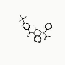 CC(=O)N(c1ccccc1)[C@H]1C[C@@H](C)N(C(=O)c2ccc(C(F)(F)F)nc2)c2ccccc21